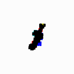 CS(C)(C)CCOCn1cc(C(F)(F)F)c2c(Oc3ccc(NC(=O)Oc4ccccc4)cc3C#N)ccnc21